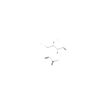 C=CC(N)=O.O=C[C@@H](O)[C@H](O)CO